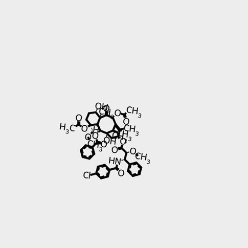 COC[C@]1(OC(C)=O)CC[C@H](O)[C@@]2(C)C(=O)[C@H](OC(C)=O)C3=C(C)[C@@H](OC(=O)[C@H](OC)[C@@H](NC(=O)c4ccc(Cl)cc4)c4ccccc4)C[C@@](O)([C@@H](OC(=O)c4ccccc4)[C@H]12)C3(C)C